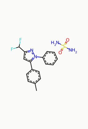 Cc1ccc(-c2cc(C(F)F)nn2-c2ccccc2)cc1.NS(N)(=O)=O